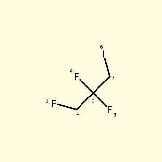 FCC(F)(F)CI